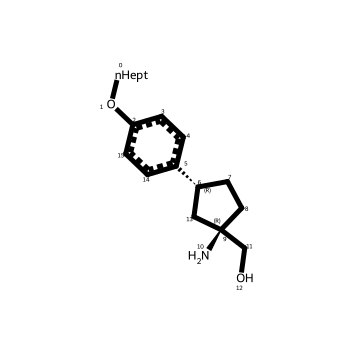 CCCCCCCOc1ccc([C@@H]2CC[C@](N)(CO)C2)cc1